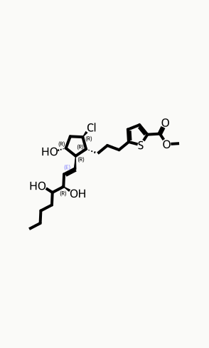 CCCCC(O)[C@H](O)/C=C/[C@@H]1[C@@H](CCCc2ccc(C(=O)OC)s2)[C@H](Cl)C[C@H]1O